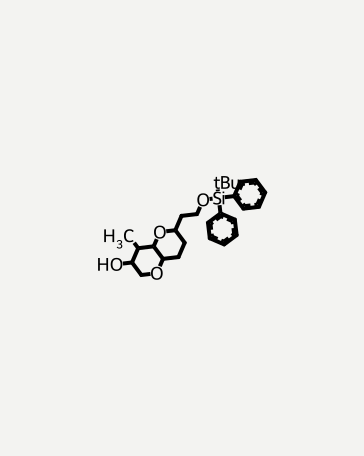 CC1C(O)COC2CCC(CCO[Si](c3ccccc3)(c3ccccc3)C(C)(C)C)OC21